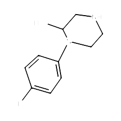 CC1CNCCN1c1ccc(F)cc1